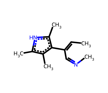 C/C=C(\C=N/C)c1c(C)[nH]c(C)c1C